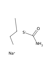 CCCC.NC(=O)[S-].[Na+]